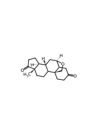 C[C@]12CCC3[C@@H](C[C@H]4OC[C@@]35CCC(=O)CC45)[C@@H]1CCC2=O